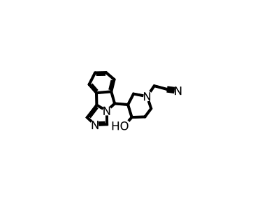 N#CCN1CCC(O)C(C2c3ccccc3-c3cncn32)C1